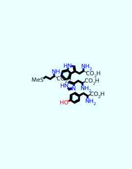 CSCC[C@H](N)C(=O)O.N[C@@H](Cc1c[nH]c2ccccc12)C(=O)O.N[C@@H](Cc1c[nH]cn1)C(=O)O.N[C@@H](Cc1ccc(O)cc1)C(=O)O